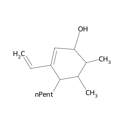 C=CC1=CC(O)C(C)C(C)C1CCCCC